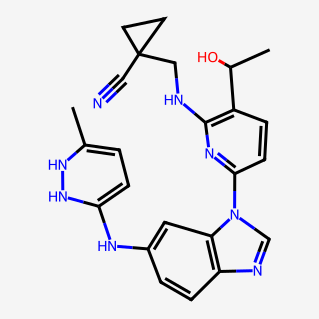 CC1=CC=C(Nc2ccc3ncn(-c4ccc(C(C)O)c(NCC5(C#N)CC5)n4)c3c2)NN1